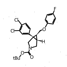 CC(C)(C)OC(=O)N1C[C@H]2[C@H](COc3ccc(F)cc3)[C@@]2(c2ccc(Cl)c(Cl)c2)C1